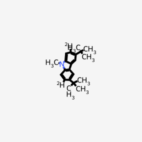 [2H]c1cc2c(cc1C(C)(C)C)c1cc(C(C)(C)C)c([2H])cc1n2C